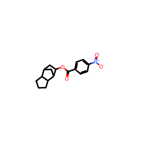 O=C(OC1CC2CC1C1CCCC21)c1ccc([N+](=O)[O-])cc1